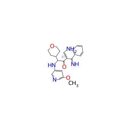 COc1cncc(NC(C(=O)/C(=C/N)C(=N)c2ccccc2)C2CCOCC2)c1